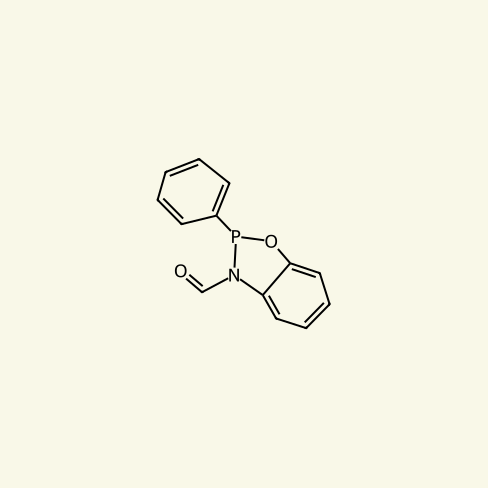 O=CN1c2ccccc2OP1c1ccccc1